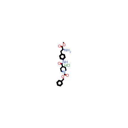 COC(=O)[C@@H](N)Cc1ccc(NC(=O)C2CCN(C(=O)OCc3ccccc3)CC2)cc1.Cl